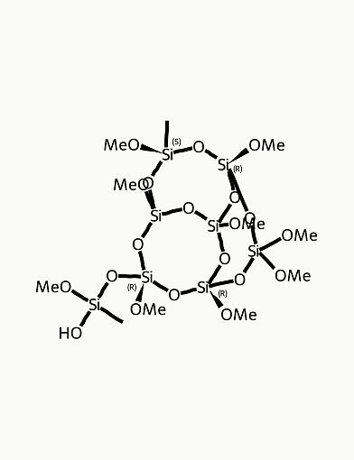 CO[Si](C)(O)O[Si@]1(OC)O[Si]2(OC)O[Si]3(OC)O[Si@@](OC)(O[Si](OC)(OC)O[Si@@](OC)(O3)O1)O[Si@](C)(OC)O2